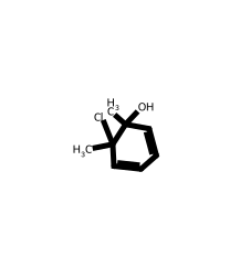 CC1(O)C=CC=CC1(C)Cl